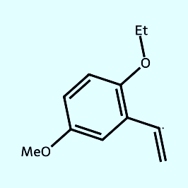 C=[C]c1cc(OC)ccc1OCC